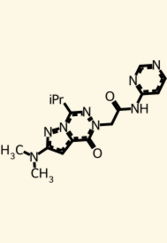 CC(C)c1nn(CC(=O)Nc2ccncn2)c(=O)c2cc(N(C)C)nn12